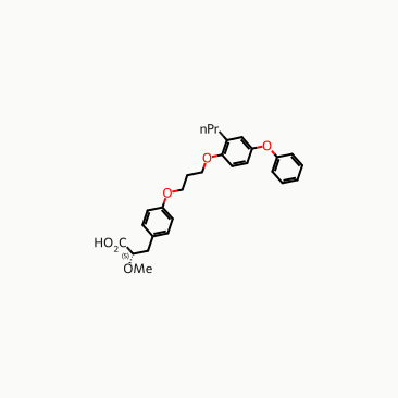 CCCc1cc(Oc2ccccc2)ccc1OCCCOc1ccc(C[C@H](OC)C(=O)O)cc1